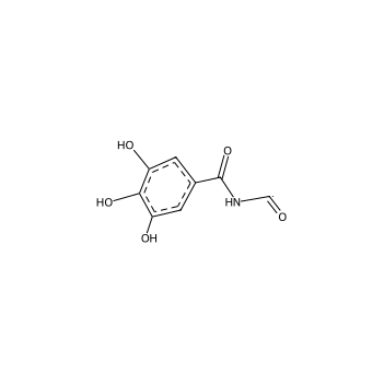 O=[C]NC(=O)c1cc(O)c(O)c(O)c1